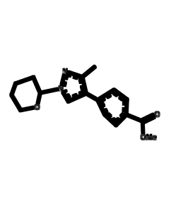 COC(=O)c1ccc(-c2cn(C3CCCCO3)nc2C)cc1